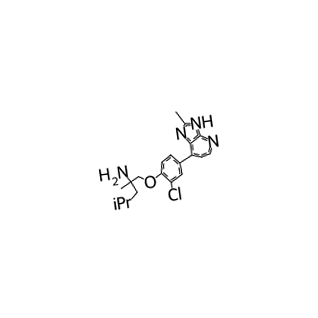 Cc1nc2c(-c3ccc(OCC(C)(N)CC(C)C)c(Cl)c3)ccnc2[nH]1